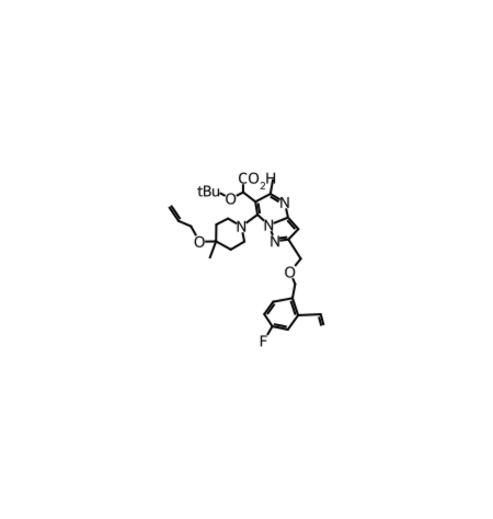 C=CCOC1(C)CCN(c2c(C(OC(C)(C)C)C(=O)O)c(C)nc3cc(COCc4ccc(F)cc4C=C)nn23)CC1